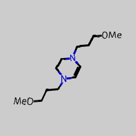 COCCCN1C=CN(CCCOC)CC1